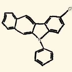 Clc1ccc2c(c1)c1cc3ccccc3cc1n2-c1ccccc1